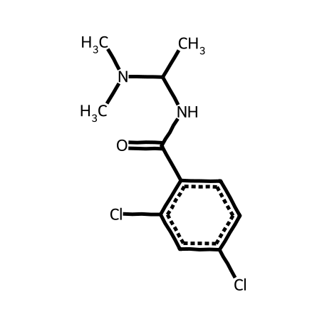 CC(NC(=O)c1ccc(Cl)cc1Cl)N(C)C